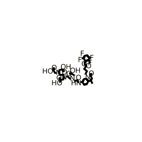 Cc1cc(=O)n(CCCC(=O)Oc2c(F)c(F)cc(F)c2F)c2cc(NC(=O)CN(CCN(CCN(CC(=O)O)CC(=O)O)CC(=O)O)CC(=O)O)ccc12